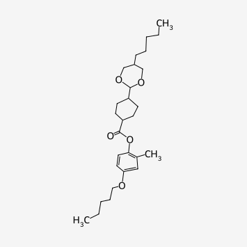 CCCCCOc1ccc(OC(=O)C2CCC(C3OCC(CCCCC)CO3)CC2)c(C)c1